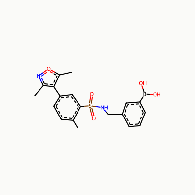 Cc1ccc(-c2c(C)noc2C)cc1S(=O)(=O)NCc1cccc(B(O)O)c1